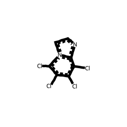 Clc1c(Cl)c(Cl)n2ccnc2c1Cl